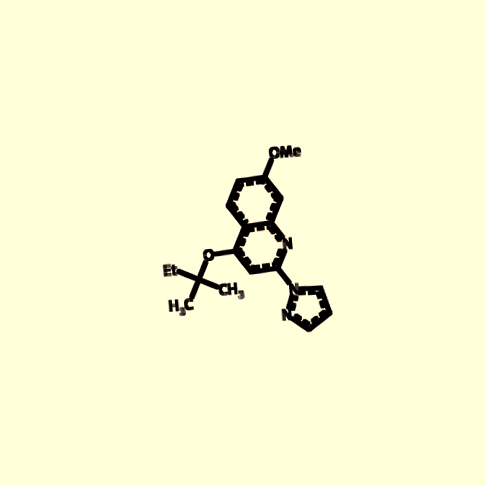 CCC(C)(C)Oc1cc(-n2cccn2)nc2cc(OC)ccc12